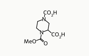 COC(=O)N1CCN(C(=O)O)CC1C(=O)O